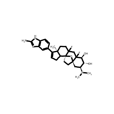 CN(C)[C@H]1C[C@@]23CC[C@]4(O2)C2CC=C(c5ccc6[nH]c(N)nc6c5)[C@@]2(C)CCC4(F)CC3(F)[C@@H](O)[C@@H]1O